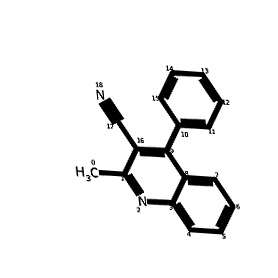 Cc1nc2ccccc2c(-c2ccccc2)c1C#N